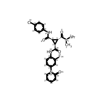 CCCN(C)C(=O)[C@H]1[C@H](C(=O)Nc2ccc(Cl)cc2)[C@@H]1C(=O)Nc1ccc(-n2ccccc2=O)cc1F